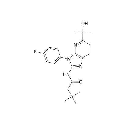 CC(C)(C)CC(=O)Nc1nc2ccc(C(C)(C)O)nc2n1-c1ccc(F)cc1